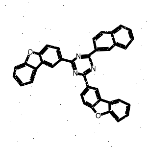 c1ccc2cc(-c3nc(-c4ccc5oc6ccccc6c5c4)nc(-c4ccc5oc6ccccc6c5c4)n3)ccc2c1